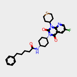 O=C(CCCCc1ccccc1)N[C@H]1CC[C@@H](n2c(=O)c3cc(F)cnc3n(C3CCSCC3)c2=O)CC1